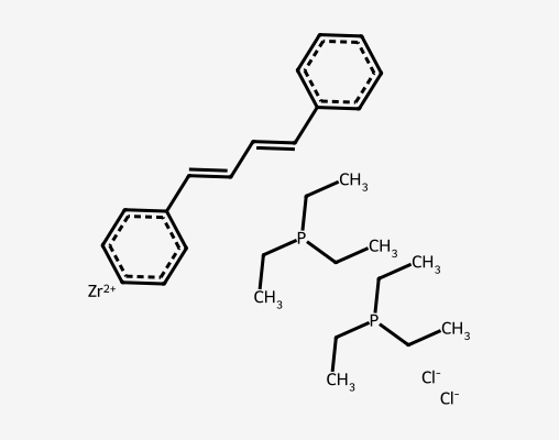 C(C=Cc1ccccc1)=Cc1ccccc1.CCP(CC)CC.CCP(CC)CC.[Cl-].[Cl-].[Zr+2]